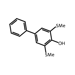 CSc1cc(-c2ccccc2)cc(SC)c1O